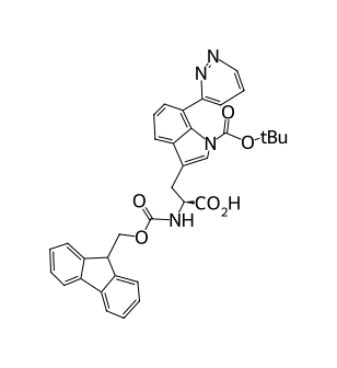 CC(C)(C)OC(=O)n1cc(C[C@H](NC(=O)OCC2c3ccccc3-c3ccccc32)C(=O)O)c2cccc(-c3cccnn3)c21